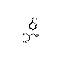 Nc1ccc(C(O)C(O)CO)cc1